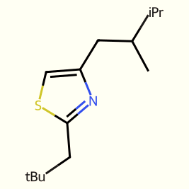 CC(C)C(C)Cc1csc(CC(C)(C)C)n1